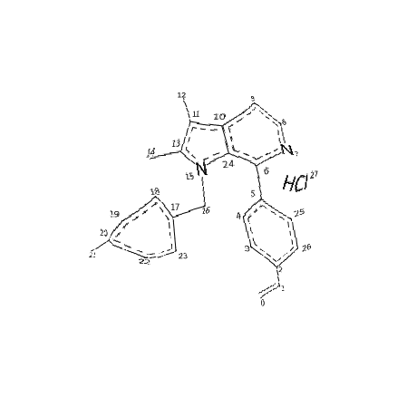 C=Cc1ccc(-c2nccc3c(C)c(C)n(Cc4ccc(C)cc4)c23)cc1.Cl